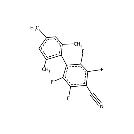 Cc1cc(C)c(-c2c(F)c(F)c(C#N)c(F)c2F)c(C)c1